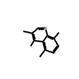 Cc1cnc2c(C)ccc(C)c2c1C